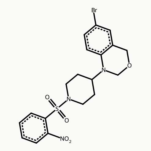 O=[N+]([O-])c1ccccc1S(=O)(=O)N1CCC(N2COCc3cc(Br)ccc32)CC1